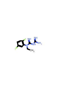 CCN(C(=N)NC(=N)N)c1cc(F)ccc1F